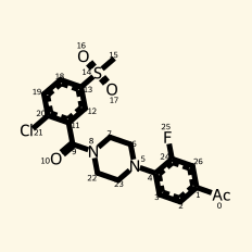 CC(=O)c1ccc(N2CCN(C(=O)c3cc(S(C)(=O)=O)ccc3Cl)CC2)c(F)c1